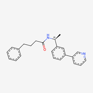 C[C@H](NC(=O)CCCc1ccccc1)c1cccc(-c2cccnc2)c1